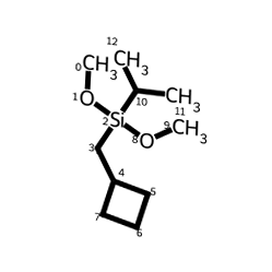 CO[Si]([CH]C1CCC1)(OC)C(C)C